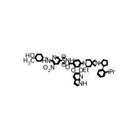 CCOc1nc2[nH]ccc2cc1Oc1cc(N2CCC3(CC2)CN([C@H]2CCC[C@H]2c2ccccc2C(C)C)C3)ccc1C(=O)NS(=O)(=O)c1cnc(NC[C@H]2CC[C@](C)(O)CC2)c([N+](=O)[O-])c1